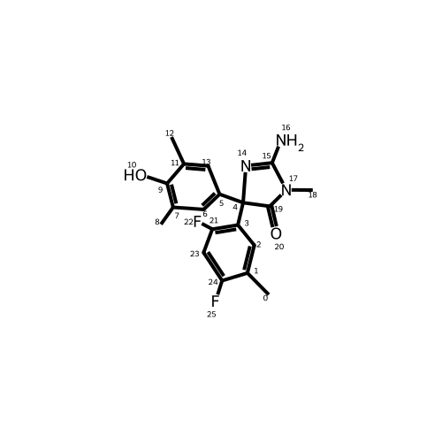 Cc1cc(C2(c3cc(C)c(O)c(C)c3)N=C(N)N(C)C2=O)c(F)cc1F